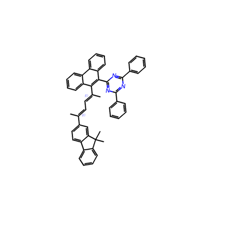 C/C(=C\C=C(/C)c1c(-c2nc(-c3ccccc3)nc(-c3ccccc3)n2)c2ccccc2c2ccccc12)c1ccc2c(c1)C(C)(C)c1ccccc1-2